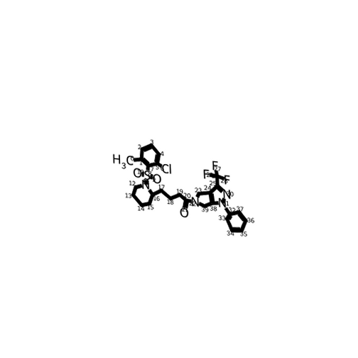 Cc1cccc(Cl)c1S(=O)(=O)N1CCCCC1CCCC(=O)N1Cc2c(C(F)(F)F)nn(-c3ccccc3)c2C1